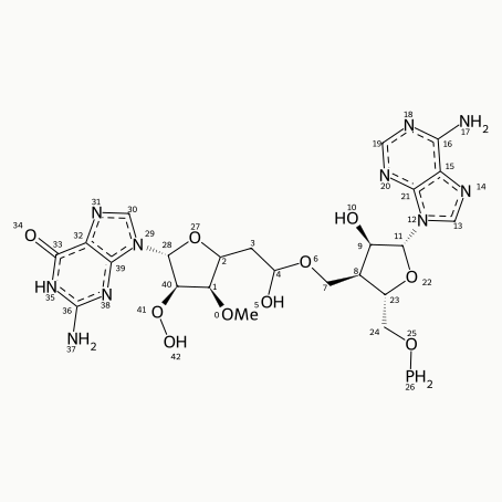 CO[C@@H]1C(CC(O)OC[C@H]2[C@@H](O)[C@H](n3cnc4c(N)ncnc43)O[C@@H]2COP)O[C@@H](n2cnc3c(=O)[nH]c(N)nc32)[C@@H]1OO